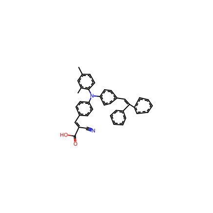 Cc1ccc(N(c2ccc(C=C(c3ccccc3)c3ccccc3)cc2)c2ccc(/C=C(\C#N)C(=O)O)cc2)c(C)c1